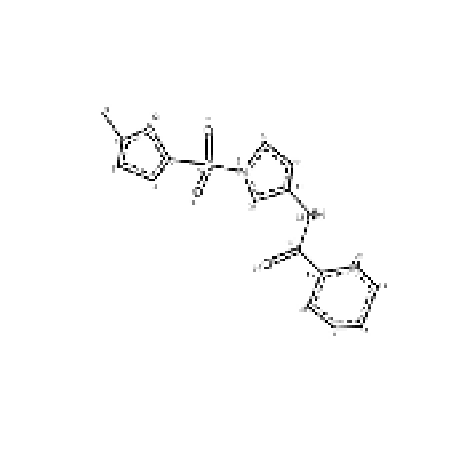 Cc1ccc(S(=O)(=O)n2ccc(NC(=O)c3ccccn3)c2)s1